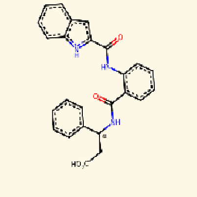 O=C(O)C[C@H](NC(=O)c1ccccc1NC(=O)c1cc2ccccc2[nH]1)c1ccccc1